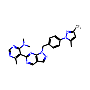 Cc1ncnc(N(C)C)c1-c1ncc2cnn(Cc3ccc(-n4nc(C(F)(F)F)cc4C)cc3)c2n1